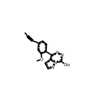 CC#Cc1ccc(-c2nnc(O)n3nccc23)c(OC)c1